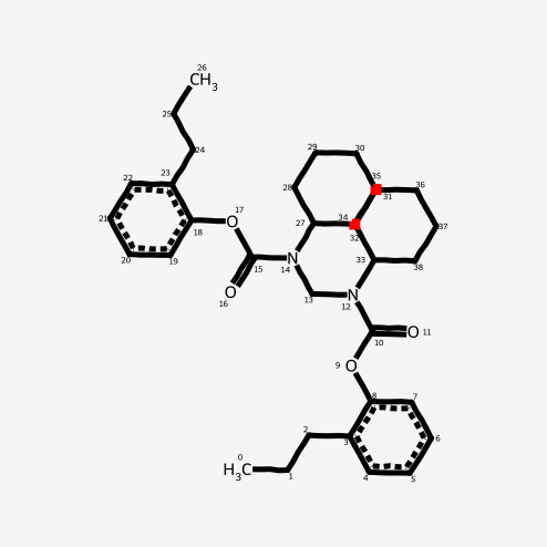 CCCc1ccccc1OC(=O)N(CN(C(=O)Oc1ccccc1CCC)C1CCCCC1)C1CCCCC1